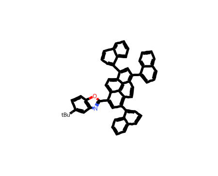 CC(C)(C)c1ccc2oc(-c3cc(-c4cccc5ccccc45)c4ccc5c(-c6cccc7ccccc67)cc(-c6cccc7ccccc67)c6ccc3c4c65)nc2c1